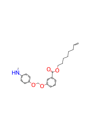 C=CCCCCCCOC(=O)c1cccc(OCOc2ccc(NC)cc2)c1